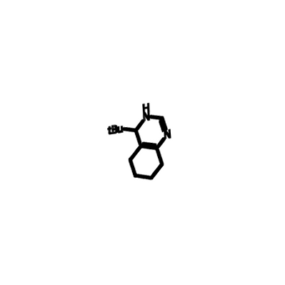 CC(C)(C)C1NC=NC2=C1CCCC2